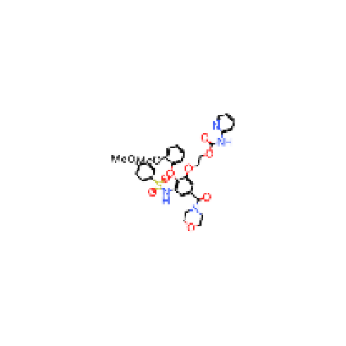 COc1ccc(S(=O)(=O)Nc2cc(C(=O)N3CCOCC3)cc(OCCOC(=O)Nc3ccccn3)c2Oc2ccccc2OC)cc1